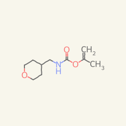 C=C(C)OC(=O)NCC1CCOCC1